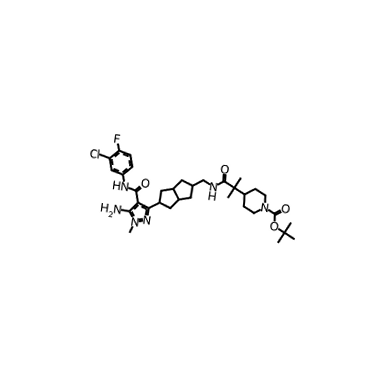 Cn1nc(C2CC3CC(CNC(=O)C(C)(C)C4CCN(C(=O)OC(C)(C)C)CC4)CC3C2)c(C(=O)Nc2ccc(F)c(Cl)c2)c1N